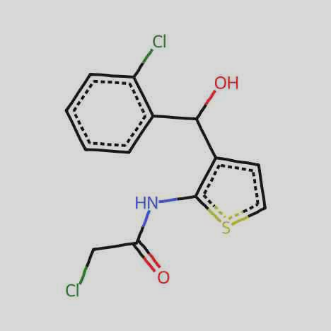 O=C(CCl)Nc1sccc1C(O)c1ccccc1Cl